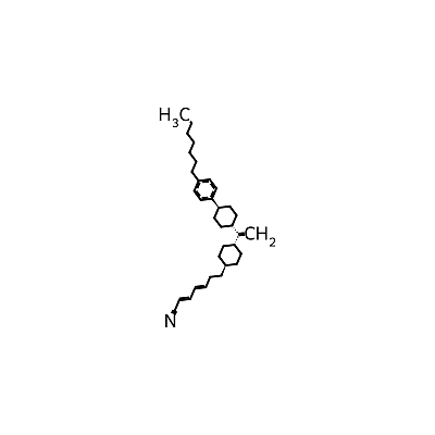 C=C([C@H]1CC[C@H](CC/C=C/C=C/C#N)CC1)[C@H]1CC[C@H](c2ccc(CCCCCCC)cc2)CC1